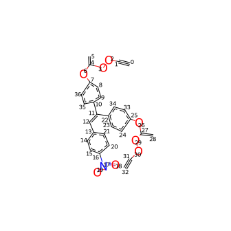 C#COOC(=C)Oc1ccc(C(=Cc2ccc([N+](=O)[O-])cc2)c2ccc(OC(=C)OOC#C)cc2)cc1